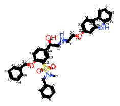 CN(Cc1ccccc1)S(=O)(=O)c1cc(C(O)CNCCOc2ccc3c(c2)[nH]c2ccccc23)ccc1OCc1ccccc1